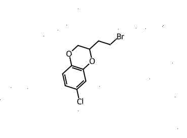 Clc1ccc2c(c1)OC(CCBr)CO2